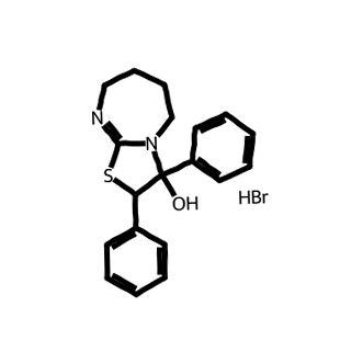 Br.OC1(c2ccccc2)C(c2ccccc2)SC2=NCCCCN21